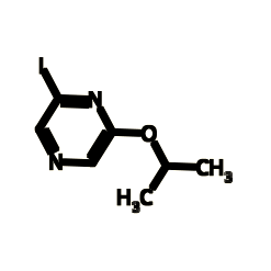 CC(C)Oc1cncc(I)n1